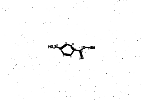 CC(C)(C)OC(=O)c1ccc(S(=O)(=O)O)cc1